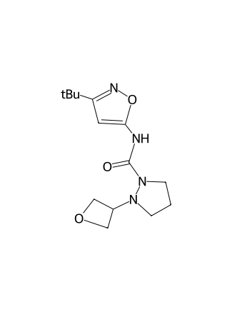 CC(C)(C)c1cc(NC(=O)N2CCCN2C2COC2)on1